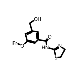 CC(C)Oc1cc(CO)cc(C(=O)NC2=NCCS2)c1